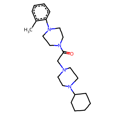 Cc1ccccc1N1CCN(C(=O)CN2CCN(C3CCCCC3)CC2)CC1